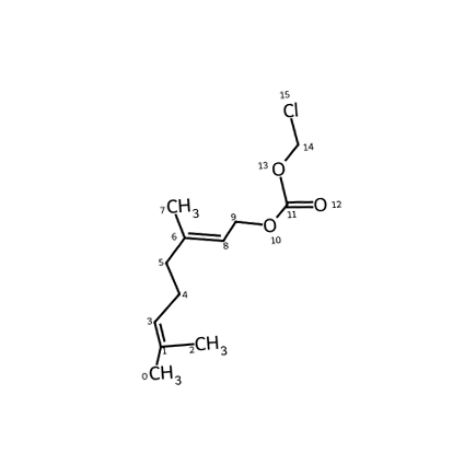 CC(C)=CCCC(C)=CCOC(=O)OCCl